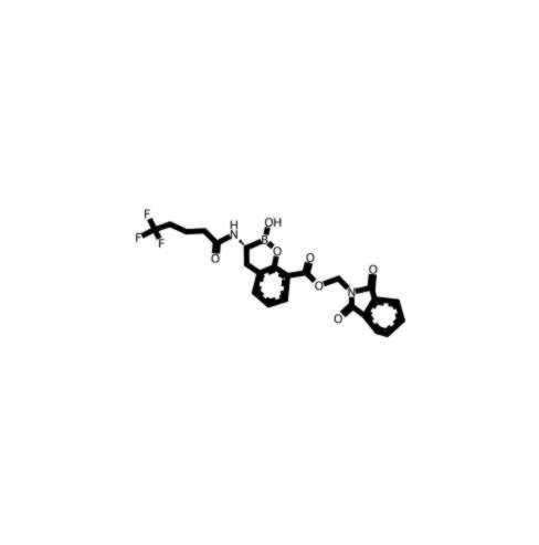 O=C(CCCC(F)(F)F)N[C@H]1Cc2cccc(C(=O)OCN3C(=O)c4ccccc4C3=O)c2OB1O